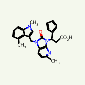 Cc1ccc2c(n1)n(C(CC(=O)O)c1ccccc1)c(=O)n2Cc1cn(C)c2cccc(C)c12